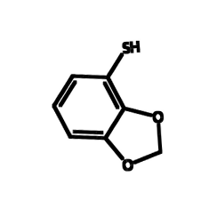 Sc1cccc2c1OCO2